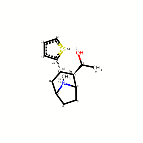 CC(O)[C@H]1C2CCC(C[C@@H]1c1cccs1)N2C